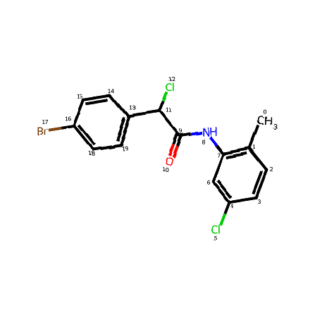 Cc1ccc(Cl)cc1NC(=O)C(Cl)c1ccc(Br)cc1